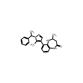 Cc1c(-c2cccc3c2NC(C)CC(=O)N3)cnn1C(C)c1ccccc1